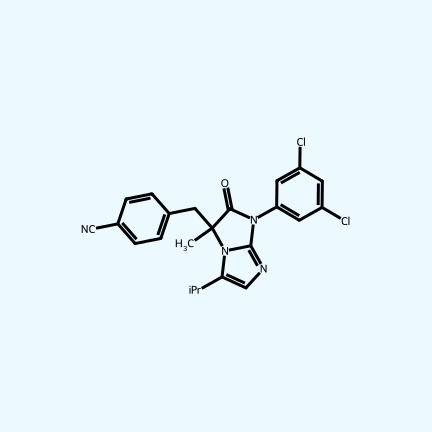 CC(C)c1cnc2n1C(C)(Cc1ccc(C#N)cc1)C(=O)N2c1cc(Cl)cc(Cl)c1